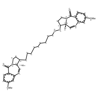 COc1ccc2c(c1)N=C[C@@H]1C(CCCCCCCCCOOC3CCN4C(=O)c5ccc(OC)cc5N=C[C@H]34)CCN1C2=O